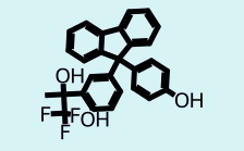 CC(O)(c1cc(C2(c3ccc(O)cc3)c3ccccc3-c3ccccc32)ccc1O)C(F)(F)F